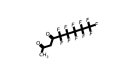 CC(=O)CC(=O)C(F)(F)C(F)(F)C(F)(F)C(F)(F)C(F)(F)F